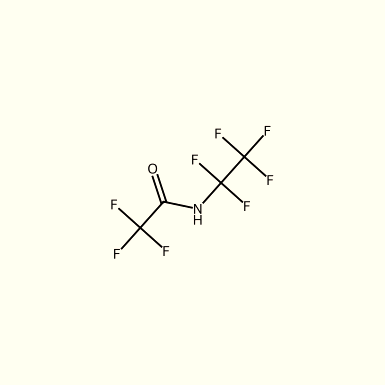 O=C(NC(F)(F)C(F)(F)F)C(F)(F)F